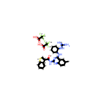 Cc1ccc2nc(NC(=O)c3csc4ccccc34)nc(NC3CCCCC3NC(=N)N)c2c1.O=C(O)C(F)(F)F.O=C(O)C(F)(F)F